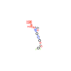 CC[C@@H]([C@H](C)OCOP(O)OCOP(=O)(O)O)n1ncn(-c2ccc(N3CCN(c4ccc(OC[C@@H]5CO[C@@](C)(c6ccc(F)cc6F)C5)cc4)CC3)cc2)c1=O